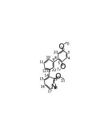 COc1ccc(OC)c(-c2cccc(-c3cccnc3OC)c2)c1